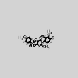 Cc1ccc(S(=O)(=O)Oc2nc(C)n(-c3ccc(F)c(C)c3Cl)c(=O)c2C)cc1